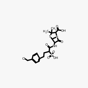 CC1(C)SC2C(NC(=O)C(CCc3ccc(CCl)cc3)S(=O)(=O)O)C(=O)N2C1C(=O)O